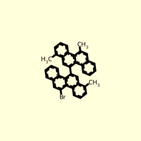 Cc1cccc2c1cc(-c1cc3c(C)cccc3c3c(Br)cc4ccccc4c13)c1c3ccccc3cc(C)c21